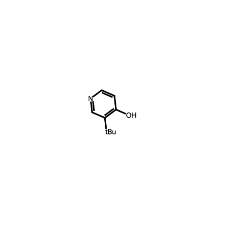 CC(C)(C)c1cnccc1O